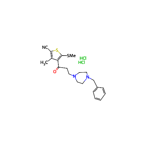 CSc1sc(C#N)c(C)c1C(=O)CCN1CCN(Cc2ccccc2)CC1.Cl.Cl